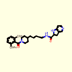 COc1cccc(OC)c1C(=O)N1CCC(CCCCNC(=O)C2Cc3cnccc3N2)CC1